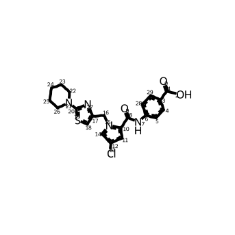 O=C(O)c1ccc(NC(=O)c2cc(Cl)cn2Cc2csc(N3CCCCC3)n2)cc1